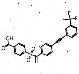 O=C(O)c1ccc(S(=O)(=O)Nc2ccc(C#Cc3cccc(C(F)(F)F)c3)cc2)cc1